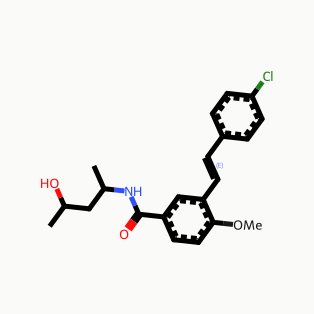 COc1ccc(C(=O)NC(C)CC(C)O)cc1/C=C/c1ccc(Cl)cc1